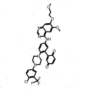 COCCOc1cc2ncnc(Nc3ccc(N4CCN(c5ccc(Cl)c(C(F)(F)F)c5)CC4)c(C4=CC(=O)C=CC4=O)c3)c2cc1OC